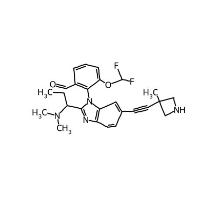 CCC(c1nc2ccc(C#CC3(C)CNC3)cc2n1-c1c(C=O)cccc1OC(F)F)N(C)C